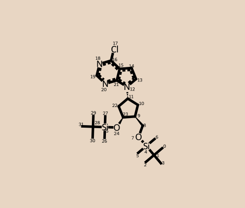 CC(C)(C)[Si](C)(C)OC[C@@H]1C[C@@H](n2ccc3c(Cl)ncnc32)C[C@@H]1O[Si](C)(C)C(C)(C)C